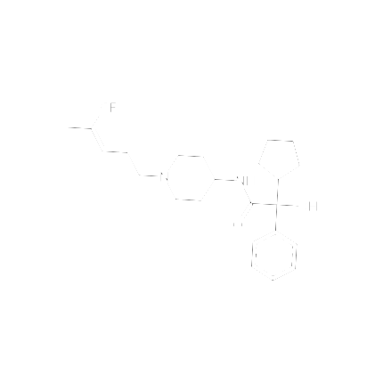 C/C(=C/CCN1CCC(NC(=O)C(O)(c2ccccc2)C2CCCC2)CC1)C(F)(F)F